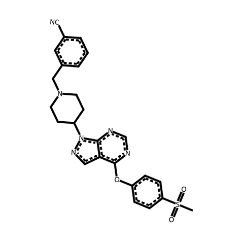 CS(=O)(=O)c1ccc(Oc2ncnc3c2cnn3C2CCN(Cc3cccc(C#N)c3)CC2)cc1